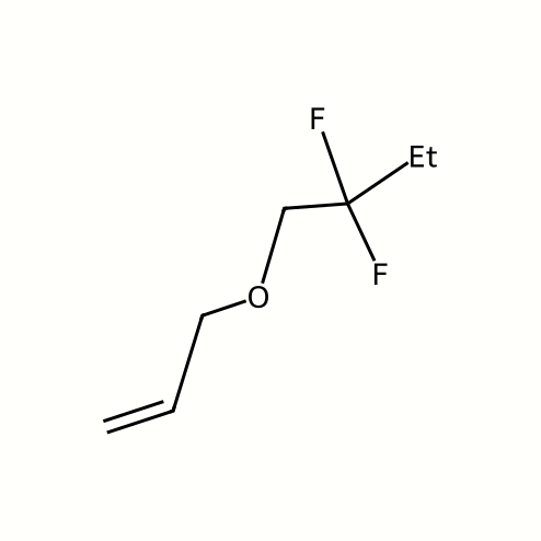 C=CCOCC(F)(F)CC